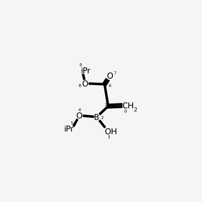 C=C(B(O)OC(C)C)C(=O)OC(C)C